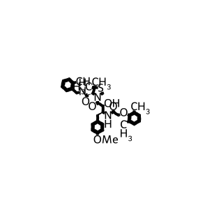 COc1ccc(C[C@H](NC(=O)COc2c(C)cccc2C)[C@H](O)C(=O)N2CSC(C)(C)[C@H]2C(=O)NCc2ccccc2C)cc1